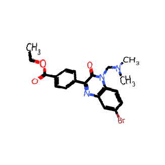 CCOC(=O)c1ccc(-c2nc3cc(Br)ccc3n(CN(C)C)c2=O)cc1